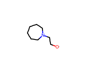 [O]CCN1CCCCCC1